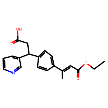 CCOC(=O)C=C(C)c1ccc(C(CC(=O)O)c2cccnc2)cc1